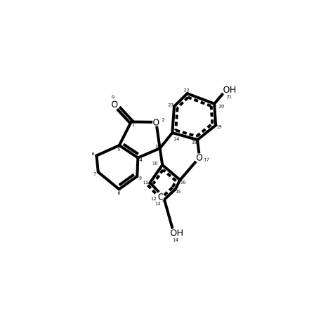 O=C1OC2(C3=C1CCC=C3)c1ccc(O)cc1Oc1cc(O)ccc12